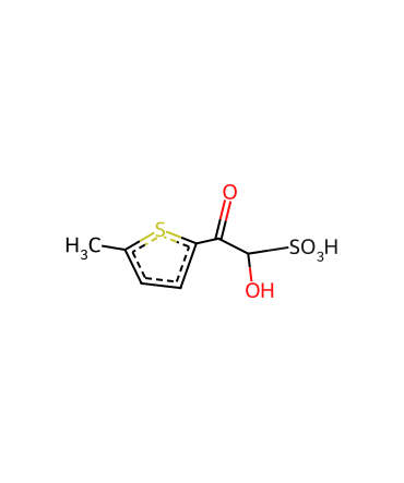 Cc1ccc(C(=O)C(O)S(=O)(=O)O)s1